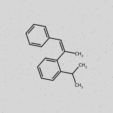 CC(=Cc1ccccc1)c1ccccc1C(C)C